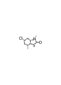 Cc1cc(Cl)cc2c1sc(=O)n2C